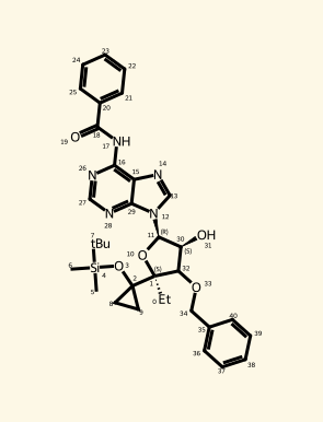 CC[C@]1(C2(O[Si](C)(C)C(C)(C)C)CC2)O[C@@H](n2cnc3c(NC(=O)c4ccccc4)ncnc32)[C@@H](O)C1OCc1ccccc1